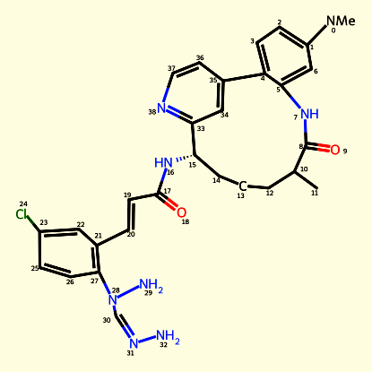 CNc1ccc2c(c1)NC(=O)C(C)CCC[C@H](NC(=O)/C=C/c1cc(Cl)ccc1N(N)/C=N\N)c1cc-2ccn1